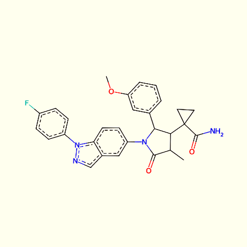 COc1cccc(C2C(C3(C(N)=O)CC3)C(C)C(=O)N2c2ccc3c(cnn3-c3ccc(F)cc3)c2)c1